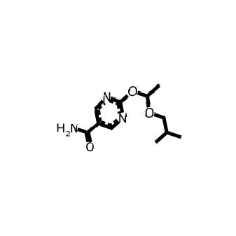 CC(C)COC(C)Oc1ncc(C(N)=O)cn1